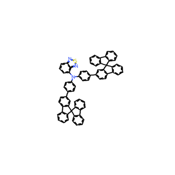 c1ccc2c(c1)-c1ccccc1C21c2ccccc2-c2ccc(-c3ccc(N(c4ccc(-c5ccc6c(c5)C5(c7ccccc7-c7ccccc75)c5ccccc5-6)cc4)c4cccc5nsnc45)cc3)cc21